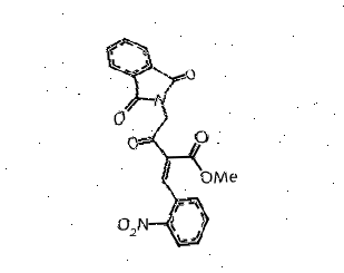 COC(=O)C(=Cc1ccccc1[N+](=O)[O-])C(=O)CN1C(=O)c2ccccc2C1=O